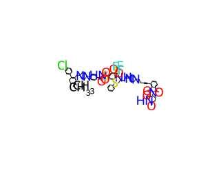 CC1(C)CCC(c2ccc(Cl)cc2)=C(CN2CCN(c3ccc(C(=O)NS(=O)(=O)c4ccc(NC(CCN5CCN(CCC#Cc6cccc7c6C(=O)N(C6CCC(=O)NC6=O)C7=O)CC5)CSc5ccccc5)c(S(=O)(=O)C(F)(F)F)c4)cc3)CC2)C1